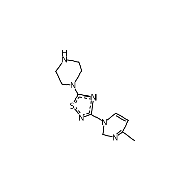 CC1=NCN(c2nsc(N3CCNCC3)n2)C=C1